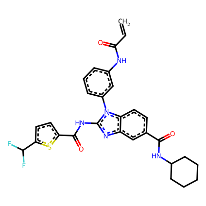 C=CC(=O)Nc1cccc(-n2c(NC(=O)c3ccc(C(F)F)s3)nc3cc(C(=O)NC4CCCCC4)ccc32)c1